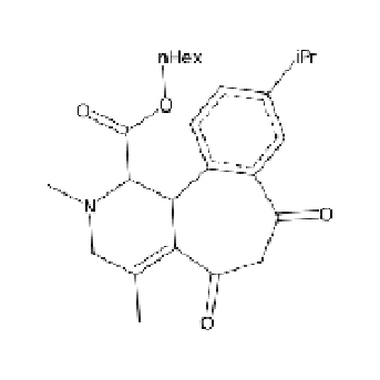 CCCCCCOC(=O)C1C2C(=C(C)CN1C)C(=O)CC(=O)c1cc(C(C)C)ccc12